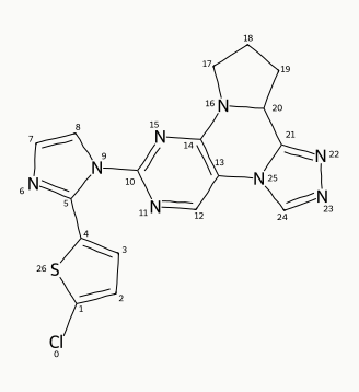 Clc1ccc(-c2nccn2-c2ncc3c(n2)N2CCCC2c2nncn2-3)s1